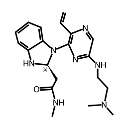 C=Cc1ncc(NCCN(C)C)nc1N1c2ccccc2N[C@@H]1CC(=O)NC